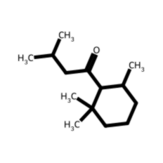 CC(C)CC(=O)C1C(C)CCCC1(C)C